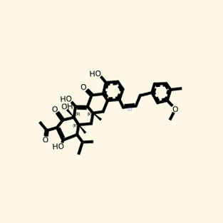 COc1cc(C/C=C\c2ccc(O)c3c2C[C@]2(C)C[C@]4(C)C(C(C)C)C(O)=C(C(C)=O)C(=O)[C@]4(O)C(O)=C2C3=O)ccc1C